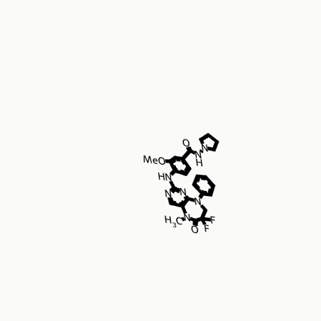 COc1cc(C(=O)NN2CCCC2)ccc1Nc1ncc2c(n1)N(c1ccccc1)CC(F)(F)C(=O)N2C